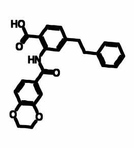 O=C(Nc1cc(CCc2ccccc2)ccc1C(=O)O)c1ccc2c(c1)OCCO2